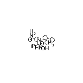 Cc1c(CN2CCC(C(N)=O)CC2C(C(=O)NO)C(C)C)cccc1-c1ccccc1